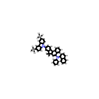 CC1(C)c2cc(-n3c4ccc([Si](C)(C)C)cc4c4cc([Si](C)(C)C)ccc43)ccc2-c2c1cc(N(c1ccccc1)c1cccc3ccccc13)c1ccccc21